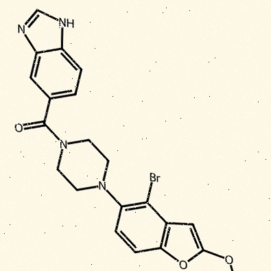 O=C(O)Oc1cc2c(Br)c(N3CCN(C(=O)c4ccc5[nH]cnc5c4)CC3)ccc2o1